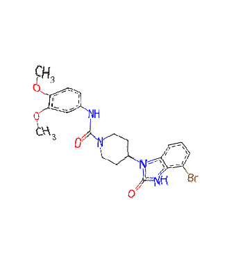 COc1ccc(NC(=O)N2CCC(n3c(=O)[nH]c4c(Br)cccc43)CC2)cc1OC